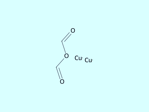 O=COC=O.[Cu].[Cu]